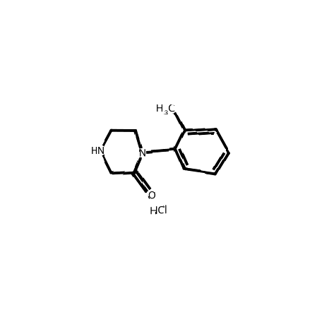 Cc1ccccc1N1CCNCC1=O.Cl